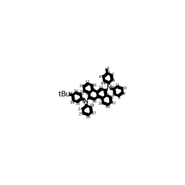 Cc1ccc(N(c2ccccc2)c2cc3c4ccccc4c(N(c4ccccc4)c4ccc(C(C)(C)C)cc4)cc3c3ccccc23)cc1